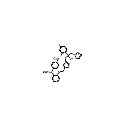 COc1ccc(C(C=O)c2ccccc2OCc2cn(CC(O)(Cn3cncn3)c3ccc(F)cc3F)nn2)cc1